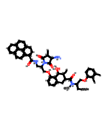 CNCC(COc1cccc(C)c1C)N(C=O)C(=O)C1Cc2cccc(OCC(CNC(=O)c3ccc4ccc5cccc6ccc3c4c56)N3C(=O)C(C)C(N)C3=O)c2C(O)C1C